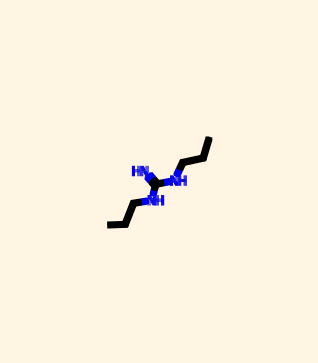 CCCNC(=N)NCCC